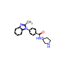 Cc1nc2ccccc2n1-c1ccc(C(=O)N[C@@H]2CCNC2)cc1